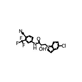 N#Cc1ccc(NC(=O)[C@@H](O)Cn2ccc3cc(Cl)ccc32)cc1C(F)(F)F